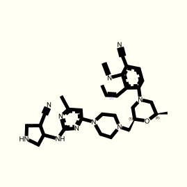 C=Nc1c(C#N)ccc(N2C[C@H](CN3CCN(c4cc(C)nc(NC5CNCC5C#N)n4)CC3)O[C@H](C)C2)c1/C=C\C